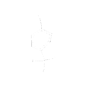 FC(F)(F)c1c[c]c(Cl)cc1